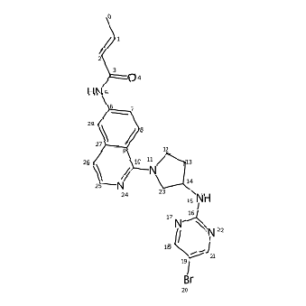 CC=CC(=O)Nc1ccc2c(N3CCC(Nc4ncc(Br)cn4)C3)nccc2c1